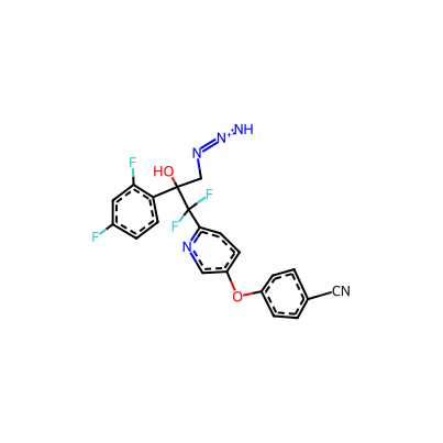 N#Cc1ccc(Oc2ccc(C(F)(F)C(O)(CN=[N+]=N)c3ccc(F)cc3F)nc2)cc1